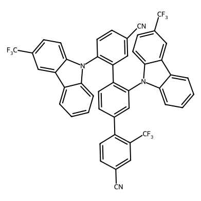 N#Cc1ccc(-n2c3ccccc3c3cc(C(F)(F)F)ccc32)c(-c2ccc(-c3ccc(C#N)cc3C(F)(F)F)cc2-n2c3ccccc3c3cc(C(F)(F)F)ccc32)c1